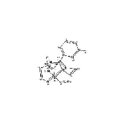 Cc1cccc(-c2n[nH]cc2C2=C\C=C\c3c(C)ccnc3/C=C\2)n1